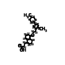 Cc1sc(N2CCC(C)CC2)nc1CCOc1cccc2c1CCC=C2CCC(=O)O